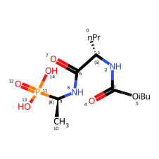 CCC[C@H](NC(=O)OCC(C)C)C(=O)N[C@@H](C)P(=O)(O)O